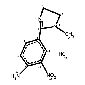 CN1CCN=C1c1ccc(N)c([N+](=O)[O-])c1.Cl